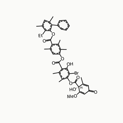 CCc1c(C)cc(C)c(-c2ccccc2)c1OC(=O)c1c(C)cc(OC(=O)c2c(C)c(C)c(OC(=O)[C@@]3(O)C(C)=CC(=O)C=C3OC)c(Br)c2O)c(C)c1C